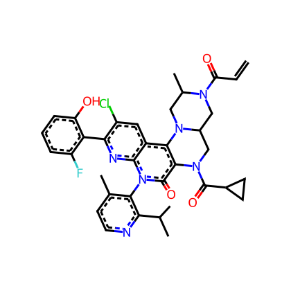 C=CC(=O)N1CC2CN(C(=O)C3CC3)c3c(c4cc(Cl)c(-c5c(O)cccc5F)nc4n(-c4c(C)ccnc4C(C)C)c3=O)N2CC1C